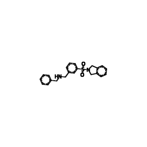 O=S(=O)(c1cccc(CNCc2ccccc2)c1)N1Cc2ccccc2C1